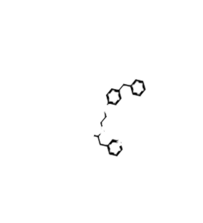 CCOC(=O)C(Cc1cccnc1)NCCOc1ccc(Cc2ccccc2)cc1